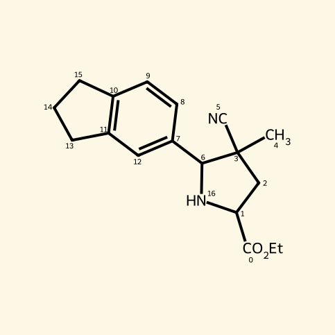 CCOC(=O)C1CC(C)(C#N)C(c2ccc3c(c2)CCC3)N1